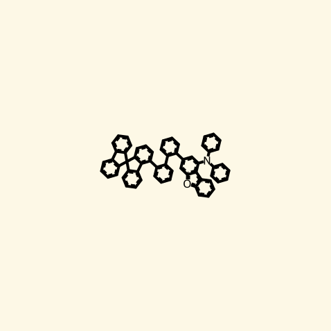 c1ccc(N(c2ccccc2)c2cc(-c3ccccc3-c3ccccc3-c3cccc4c3-c3ccccc3C43c4ccccc4-c4ccccc43)cc3oc4ccccc4c23)cc1